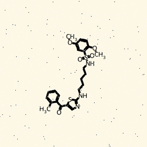 COc1ccc(OC)c(S(=O)(=O)NCCCCCNc2ncc(C(=O)c3ccccc3C)s2)c1